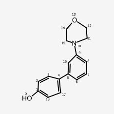 Oc1ccc(-c2cccc(N3CCOCC3)c2)cc1